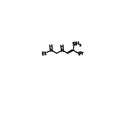 CCNCNC=C([SiH3])C(C)C